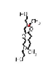 CCCCCCOCC.OCCOCCOCCOCCO